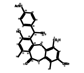 COc1cc(C(=O)O)c2c(c1C)OC(=O)c1c(C)cc(O)c(C(N)c3ccc(NC(C)=O)cc3)c1O2